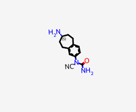 N#CN(C(N)=O)c1ccc2c(c1)CC[C@@H](N)CC2